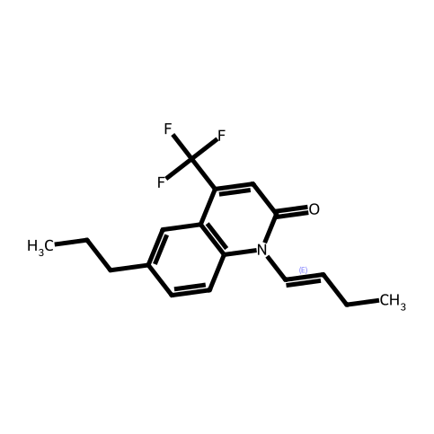 CC/C=C/n1c(=O)cc(C(F)(F)F)c2cc(CCC)ccc21